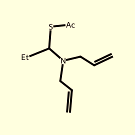 C=CCN(CC=C)C(CC)SC(C)=O